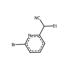 CCC(C#N)c1cccc(Br)n1